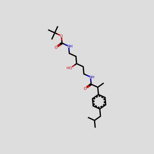 CC(C)Cc1ccc(C(C)C(=O)NCCC(O)CCNC(=O)OC(C)(C)C)cc1